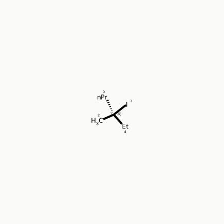 CCC[C@](C)(I)CC